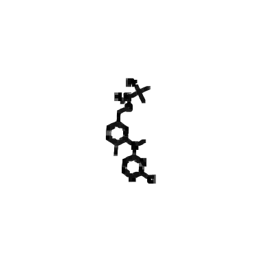 Cc1ccc(CO[SiH2]C(C)(C)C(C)C)cc1N(C)c1ccnc(Cl)n1